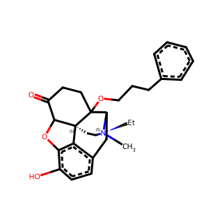 CC[N@@+]1(C)CC[C@]23c4c5ccc(O)c4OC2C(=O)CCC3(OCCCc2ccccc2)C1C5